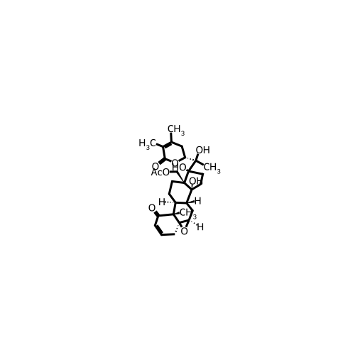 CC(=O)OC[C@]12CC[C@H]3[C@@H](C[C@H]4O[C@]45CC=CC(=O)[C@]35C)[C@]1(O)CC[C@@]2(O)C(C)(O)[C@H]1CC(C)=C(C)C(=O)O1